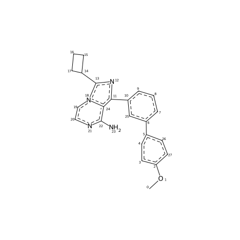 COc1ccc(-c2cccc(-c3nc(C4CCC4)n4ccnc(N)c34)c2)cc1